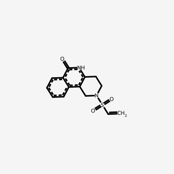 C=CS(=O)(=O)N1CCc2[nH]c(=O)c3ccccc3c2C1